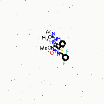 CON(C)C(=O)N1N=C(c2cc(F)ccc2F)SC1(CCNN/C(C)=N/C(C)=O)c1ccccc1